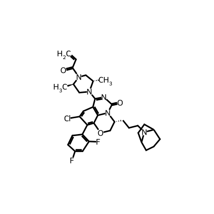 C=CC(=O)N1C[C@H](C)N(c2nc(=O)n3c4c(c(-c5ccc(F)cc5F)c(Cl)cc24)OC[C@H]3CCCN2C3CCCC2CC3)C[C@H]1C